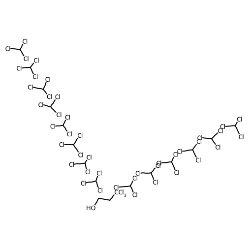 ClC(Cl)Cl.ClC(Cl)Cl.ClC(Cl)Cl.ClC(Cl)Cl.ClC(Cl)Cl.ClC(Cl)Cl.ClC(Cl)Cl.ClC(Cl)Cl.ClC(Cl)Cl.ClC(Cl)Cl.ClC(Cl)Cl.ClC(Cl)Cl.ClC(Cl)Cl.ClC(Cl)Cl.OCCC(Cl)(Cl)Cl